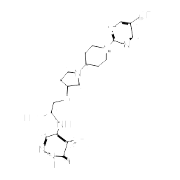 C[C@@H](COC1CCN(C2CCN(c3ncc(C(F)(F)F)cn3)CC2)C1)Nc1cn[nH]c(=O)c1C(F)(F)F